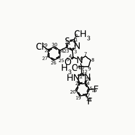 Cc1nc(C(=O)N2CCCC2(C)c2nc3c(F)c(F)ccc3[nH]2)c(-c2cccc(Cl)c2)s1